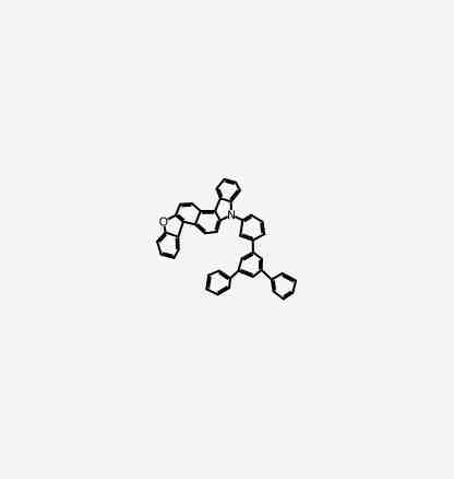 c1ccc(-c2cc(-c3ccccc3)cc(-c3cccc(-n4c5ccccc5c5c6ccc7oc8ccccc8c7c6ccc54)c3)c2)cc1